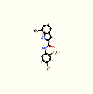 Cc1cccc2cc(C(=O)Nc3ccc(C#N)cc3C(=O)O)[nH]c12